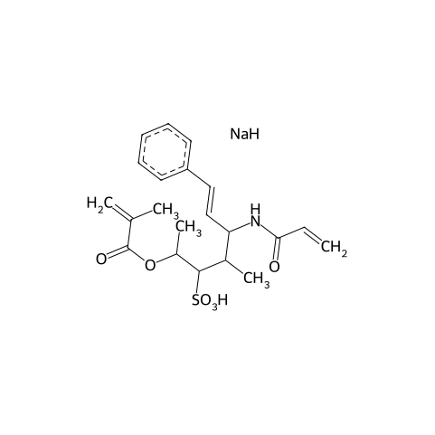 C=CC(=O)NC(C=Cc1ccccc1)C(C)C(C(C)OC(=O)C(=C)C)S(=O)(=O)O.[NaH]